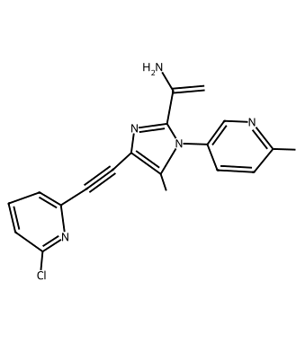 C=C(N)c1nc(C#Cc2cccc(Cl)n2)c(C)n1-c1ccc(C)nc1